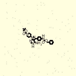 CC(C)(C)OC(=O)N1CCC(n2nc(-c3ccc(NC(=O)OCc4ccccc4)cc3)c3c2N=CNC3N)CC1